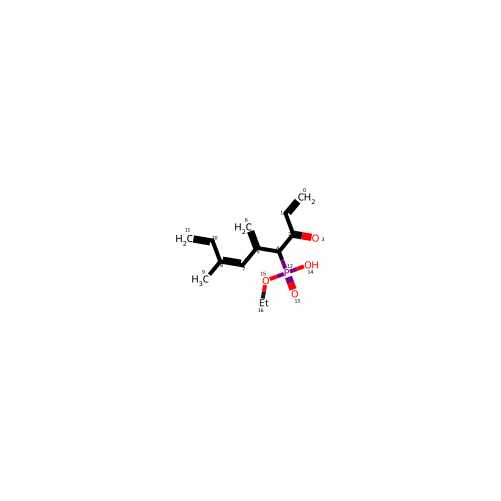 C=CC(=O)C(C(=C)C=C(C)C=C)P(=O)(O)OCC